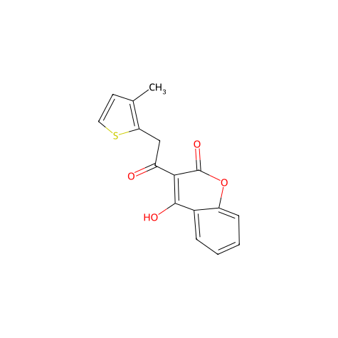 Cc1ccsc1CC(=O)c1c(O)c2ccccc2oc1=O